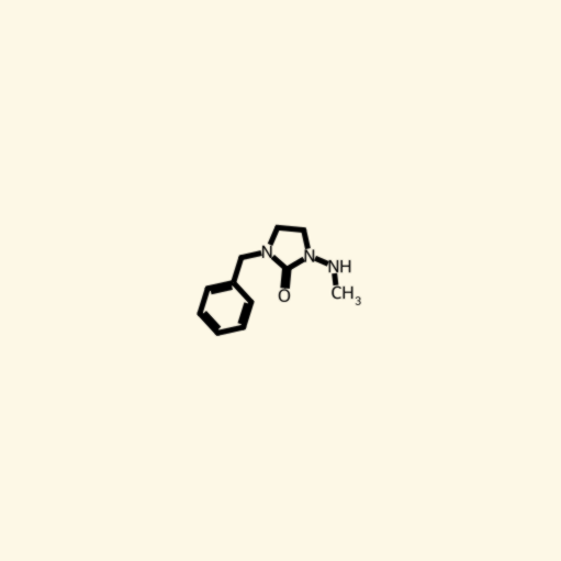 CNN1CCN(Cc2ccccc2)C1=O